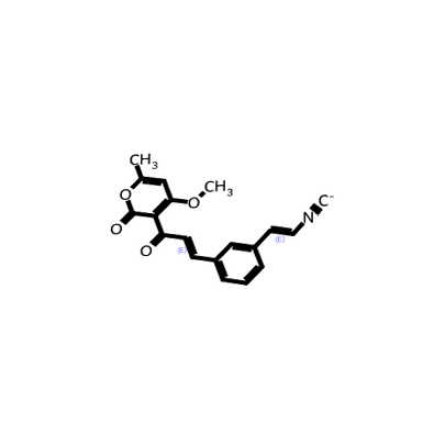 [C-]#[N+]/C=C/c1cccc(/C=C/C(=O)c2c(OC)cc(C)oc2=O)c1